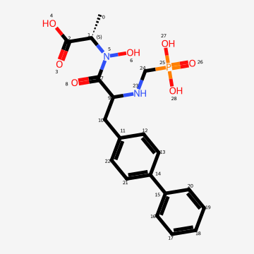 C[C@@H](C(=O)O)N(O)C(=O)C(Cc1ccc(-c2ccccc2)cc1)NCP(=O)(O)O